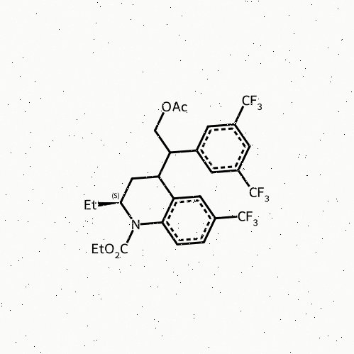 CCOC(=O)N1c2ccc(C(F)(F)F)cc2C(C(COC(C)=O)c2cc(C(F)(F)F)cc(C(F)(F)F)c2)C[C@@H]1CC